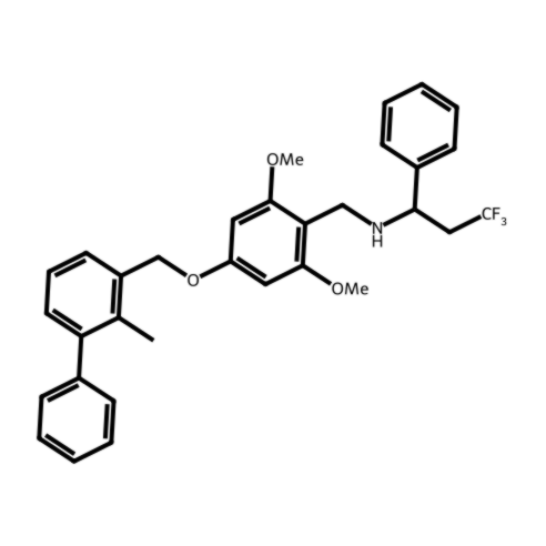 COc1cc(OCc2cccc(-c3ccccc3)c2C)cc(OC)c1CNC(CC(F)(F)F)c1ccccc1